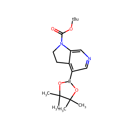 CC(C)(C)OC(=O)N1CCc2c(B3OC(C)(C)C(C)(C)O3)cncc21